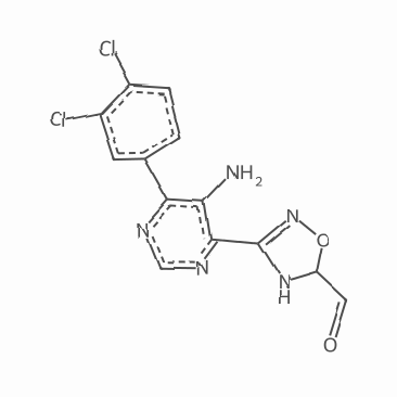 Nc1c(C2=NOC(C=O)N2)ncnc1-c1ccc(Cl)c(Cl)c1